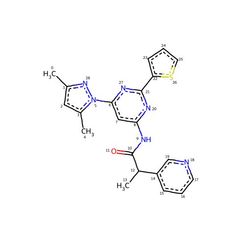 Cc1cc(C)n(-c2cc(NC(=O)C(C)c3cccnc3)nc(-c3cccs3)n2)n1